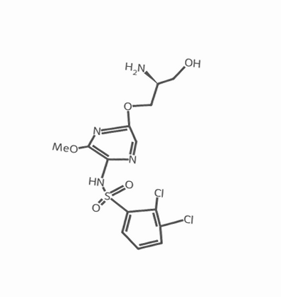 COc1nc(OC[C@@H](N)CO)cnc1NS(=O)(=O)c1cccc(Cl)c1Cl